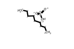 CCCCCCCCC.O=[SH](=O)O